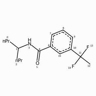 CCCC(CCC)NC(=O)c1cccc(C(C)(F)F)c1